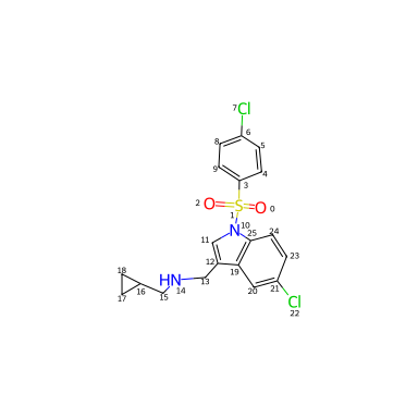 O=S(=O)(c1ccc(Cl)cc1)n1cc(CNCC2CC2)c2cc(Cl)ccc21